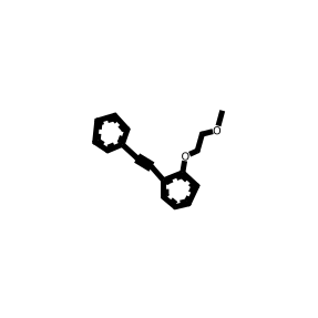 COCCOc1ccccc1C#Cc1ccccc1